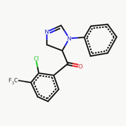 O=C(c1cccc(C(F)(F)F)c1Cl)C1CN=CN1c1ccccc1